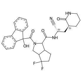 N#C[C@H](C[C@@H]1CCCNC1=O)NC(=O)C1C2CCC(F)(F)C2CN1C(=O)C1(O)c2ccccc2-c2ccccc21